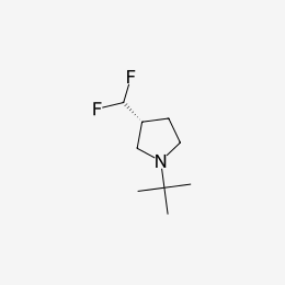 CC(C)(C)N1CC[C@@H](C(F)F)C1